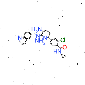 Nc1ccc(-c2ccc(C(=O)NC3CC3)c(Cl)c2)nc1N(N)Cc1ccc2ncccc2c1